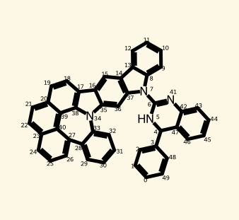 c1ccc(C2NC(n3c4ccccc4c4cc5c6ccc7ccc8cccc9c%10ccccc%10n(c5cc43)c6c7c89)=Nc3ccccc32)cc1